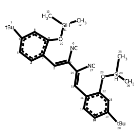 [C-]#[N+]C(=Cc1ccc(C(C)(C)C)cc1O[SiH](C)C)C(=Cc1ccc(C(C)(C)C)cc1O[SiH](C)C)[N+]#[C-]